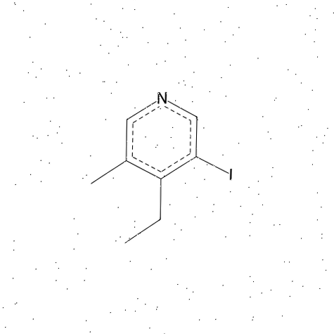 CCc1c(C)cncc1I